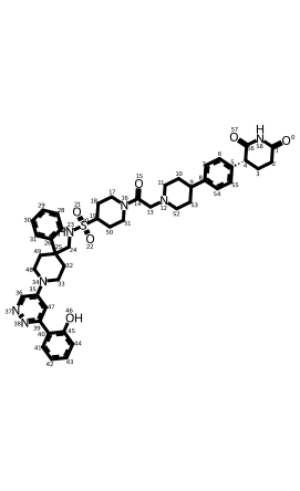 O=C1CC[C@H](c2ccc(C3CCN(CC(=O)N4CCC(S(=O)(=O)NCC5(c6ccccc6)CCN(c6cnnc(-c7ccccc7O)c6)CC5)CC4)CC3)cc2)C(=O)N1